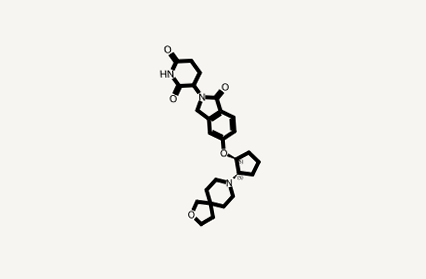 O=C1CCC(N2Cc3cc(O[C@H]4CCC[C@@H]4N4CCC5(CCOC5)CC4)ccc3C2=O)C(=O)N1